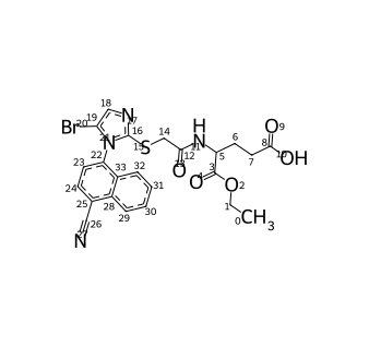 CCOC(=O)C(CCC(=O)O)NC(=O)CSc1ncc(Br)n1-c1ccc(C#N)c2ccccc12